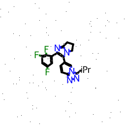 CC(C)c1nnc2ccc(-c3c(-c4cc(F)cc(F)c4F)nc4n3CCC4)cn12